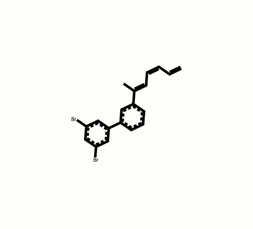 C=C/C=C\C=C(/C)c1cccc(-c2cc(Br)cc(Br)c2)c1